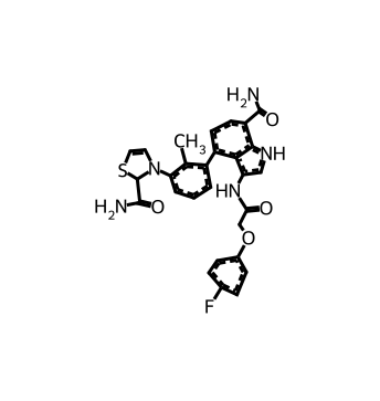 Cc1c(-c2ccc(C(N)=O)c3[nH]cc(NC(=O)COc4ccc(F)cc4)c23)cccc1N1C=CSC1C(N)=O